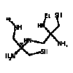 CCNC[C@@](N)(CS)NCC(N)(CS)NCC